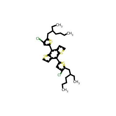 CCCCC(CC)Cc1sc(-c2c3ccsc3c(-c3cc(Cl)c(CC(CC)CCCC)s3)c3ccsc23)cc1Cl